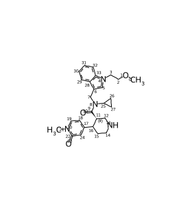 COCCn1cc(CN(C(=O)[C@H]2CNCCC2c2ccn(C)c(=O)c2)C2CC2)c2ccccc21